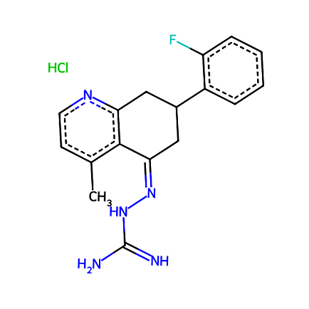 Cc1ccnc2c1/C(=N\NC(=N)N)CC(c1ccccc1F)C2.Cl